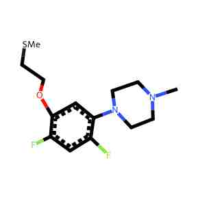 CSCCOc1cc(N2CCN(C)CC2)c(F)cc1F